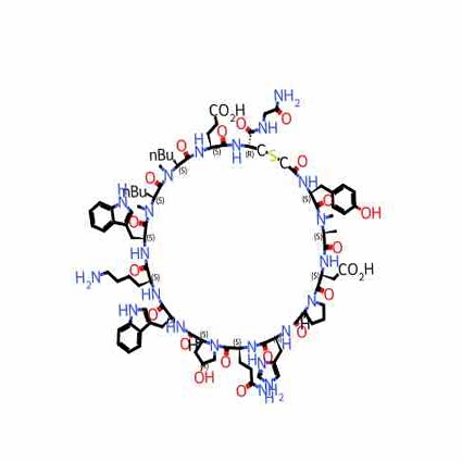 CCCC[C@H]1C(=O)N(C)[C@@H](CCCC)C(=O)N[C@@H](CCC(=O)O)C(=O)N[C@H](C(=O)NCC(N)=O)CSCC(=O)N[C@@H](Cc2ccc(O)cc2)C(=O)N(C)[C@@H](C)C(=O)N[C@@H](CC(=O)O)C(=O)N2CCC[C@H]2C(=O)N[C@@H](Cc2c[nH]cn2)C(=O)N[C@@H](CCC(N)=O)C(=O)N2C[C@H](O)C[C@H]2C(=O)N[C@@H](Cc2c[nH]c3ccccc23)C(=O)N[C@@H](CCCCN)C(=O)N[C@@H](Cc2c[nH]c3ccccc23)C(=O)N1C